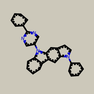 c1ccc(-c2ncc(-n3c4ccccc4c4cc5c(ccn5-c5ccccc5)cc43)cn2)cc1